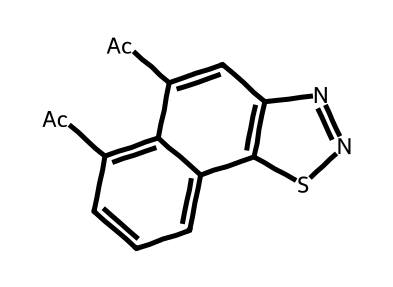 CC(=O)c1cccc2c1c(C(C)=O)cc1nnsc12